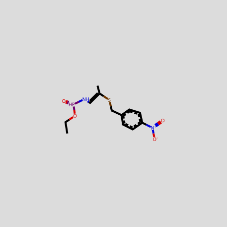 CCO[PH](=O)NC=C(C)SCc1ccc([N+](=O)[O-])cc1